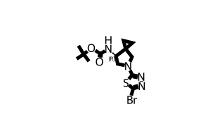 CC(C)(C)OC(=O)N[C@H]1CN(c2nnc(Br)s2)CC12CC2